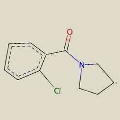 O=C(c1ccccc1Cl)N1C[CH]CC1